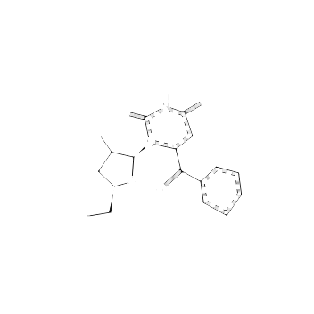 O=C(c1ccccc1)c1cc(=O)[nH]c(=O)n1[C@H]1O[C@@H](CO)CC1O